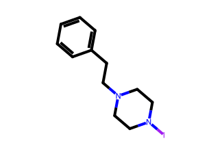 IN1CCN(CCc2ccccc2)CC1